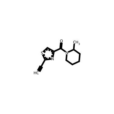 C#Cc1nc(C(=O)N2CCCCC2C)cs1